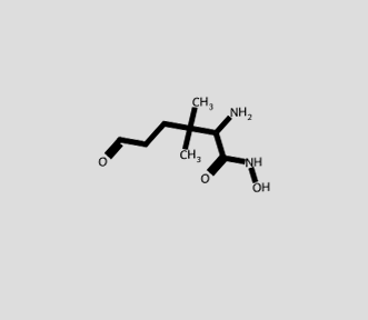 CC(C)(CCC=O)C(N)C(=O)NO